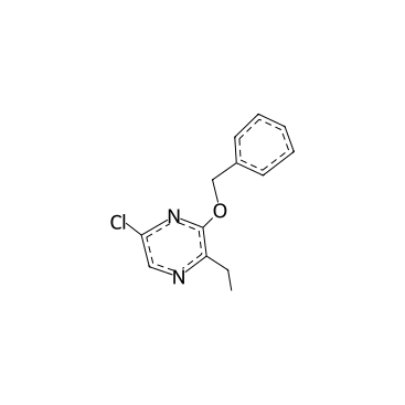 CCc1ncc(Cl)nc1OCc1ccccc1